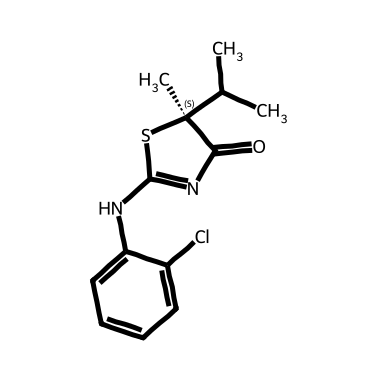 CC(C)[C@]1(C)SC(Nc2ccccc2Cl)=NC1=O